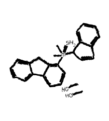 CO.CO.[CH3][Ti]([CH3])(=[SiH2])([c]1cccc2c1Cc1ccccc1-2)[CH]1C=Cc2ccccc21